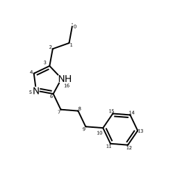 [CH2]CCc1cnc(CCCc2ccccc2)[nH]1